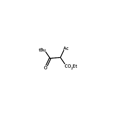 CCOC(=O)C(C(C)=O)C(=O)C(C)(C)C